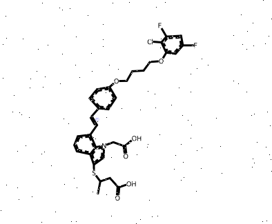 CC(CC(=O)O)Sc1cn(CC(=O)O)c2c(/C=C/c3ccc(OCCCCOc4cc(F)cc(F)c4Cl)cc3)cccc12